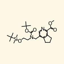 COC(=O)c1ncc(CN(CCO[Si](C)(C)C(C)(C)C)C(=O)OC(C)(C)C)c2c1CCC2